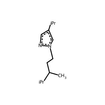 CC(C)c1cnn(CCC(C)C(C)C)c1